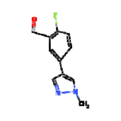 Cn1cc(-c2ccc(F)c(C=O)c2)cn1